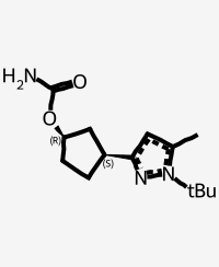 Cc1cc([C@H]2CC[C@@H](OC(N)=O)C2)nn1C(C)(C)C